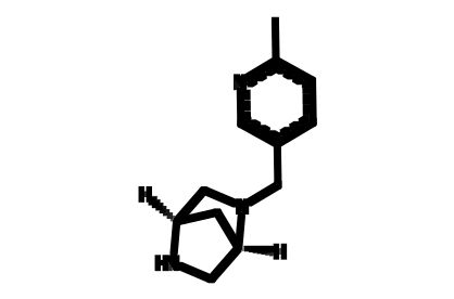 Cc1ccc(CN2C[C@H]3C[C@@H]2CN3)cn1